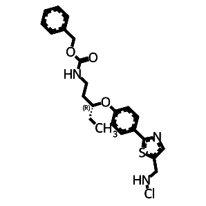 CC[C@H](CCNC(=O)OCc1ccccc1)Oc1ccc(-c2ncc(CNCl)s2)cc1